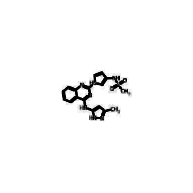 Cc1cc(Nc2nc([SH]3C=CC(NS(C)(=O)=O)=C3)nc3ccccc23)[nH]n1